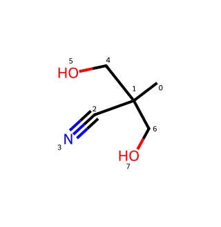 CC(C#N)(CO)CO